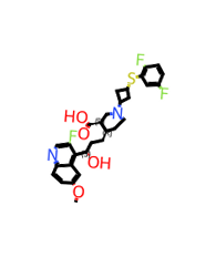 COc1ccc2ncc(F)c([C@@H](O)CC[C@@H]3CCN(C4CC(Sc5cc(F)ccc5F)C4)C[C@@H]3C(=O)O)c2c1